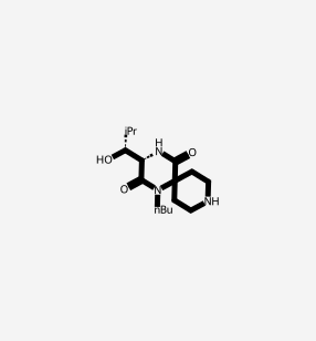 CCCCN1C(=O)[C@H]([C@H](O)C(C)C)NC(=O)C12CCNCC2